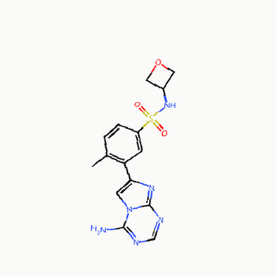 Cc1ccc(S(=O)(=O)NC2COC2)cc1-c1cn2c(N)ncnc2n1